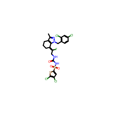 Cc1nn(Cc2ccc(Cl)cc2Cl)c2c1CCC/C2=C(/F)CNC(=O)NS(=O)(=O)c1cc(Cl)c(Cl)s1